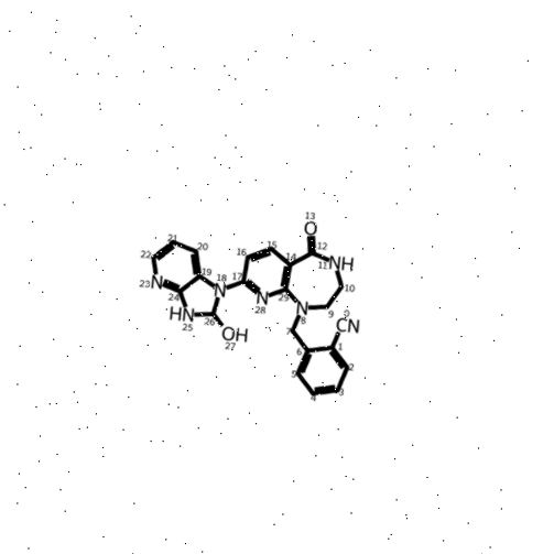 N#Cc1ccccc1CN1CCNC(=O)c2ccc(N3c4cccnc4NC3O)nc21